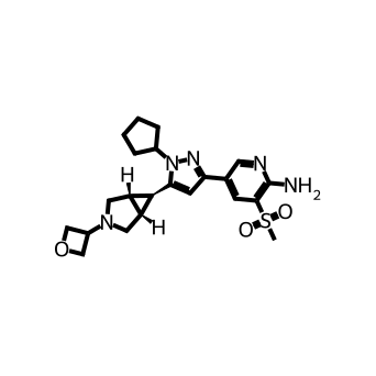 CS(=O)(=O)c1cc(-c2cc([C@H]3[C@@H]4CN(C5COC5)C[C@@H]43)n(C3CCCC3)n2)cnc1N